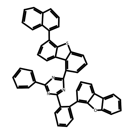 c1ccc(-c2nc(-c3ccccc3-c3cccc4c3oc3ccccc34)nc(-c3cccc4sc5c(-c6cccc7ccccc67)cccc5c34)n2)cc1